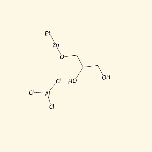 C[CH2][Zn][O]CC(O)CO.[Cl][Al]([Cl])[Cl]